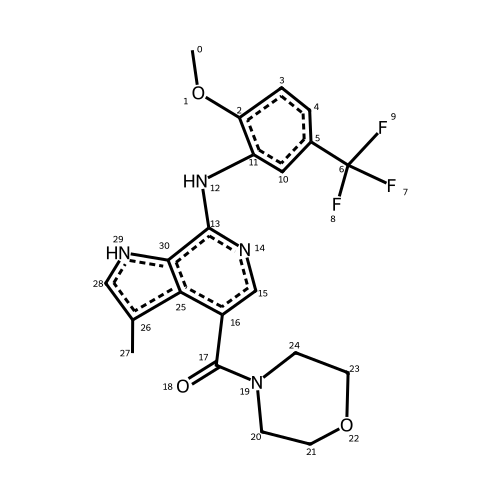 COc1ccc(C(F)(F)F)cc1Nc1ncc(C(=O)N2CCOCC2)c2c(C)c[nH]c12